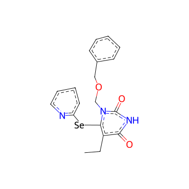 CCc1c([Se]c2ccccn2)n(COCc2ccccc2)c(=O)[nH]c1=O